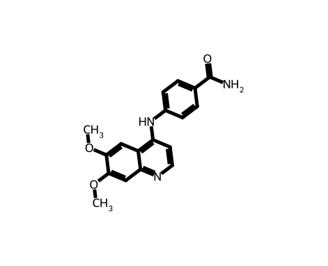 COc1cc2nccc(Nc3ccc(C(N)=O)cc3)c2cc1OC